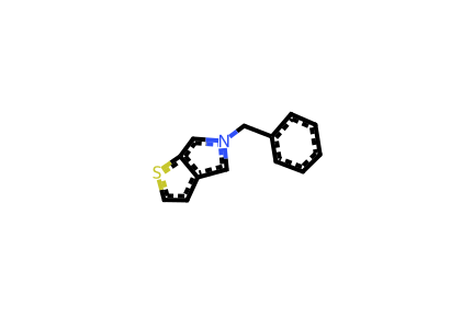 c1ccc(Cn2cc3ccsc3c2)cc1